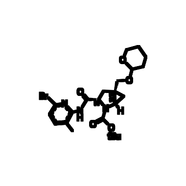 Cc1ccc(Br)nc1NC(=O)[C@@H]1C[C@@]2(COC3CCCCO3)C[C@H]2N1C(=O)OC(C)(C)C